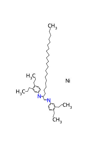 CCCCCCCCCCCCCCCCCCCCCCC(/C=N/c1ccc(CCC)c(CCC)c1)=N\c1ccc(CCC)c(CCC)c1.[Ni]